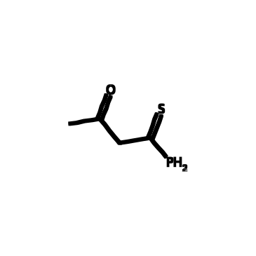 CC(=O)CC(P)=S